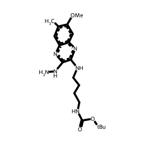 COc1cc2nc(NCCCCNC(=O)OC(C)(C)C)c(NN)nc2cc1C